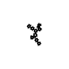 c1ccc(-c2ccc(-c3cc(-c4ccc5c(c4)c4ccccc4n5-c4ccc(-c5ccccc5)cc4)cc(-c4cccc5c4oc4ccccc45)c3)cc2)cc1